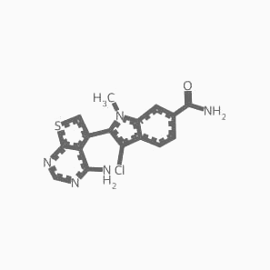 Cn1c(-c2csc3ncnc(N)c23)c(Cl)c2ccc(C(N)=O)cc21